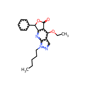 CCCCCn1ncc2c(OCC)c3c(nc21)C(c1ccccc1)OC3=O